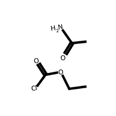 CC(N)=O.CCOC(=O)Cl